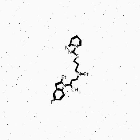 CCc1cc2cc(F)ccc2n1C(C)CCN(CC)CCCSc1nnc2ccccn12